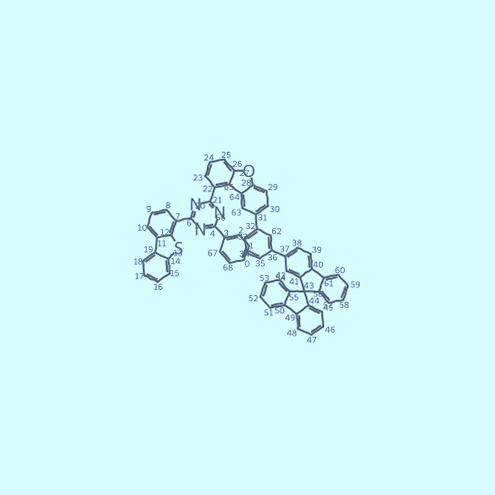 c1ccc(-c2nc(-c3cccc4c3sc3ccccc34)nc(-c3cccc4oc5ccc(-c6cccc(-c7ccc8c(c7)C7(c9ccccc9-c9ccccc97)c7ccccc7-8)c6)cc5c34)n2)cc1